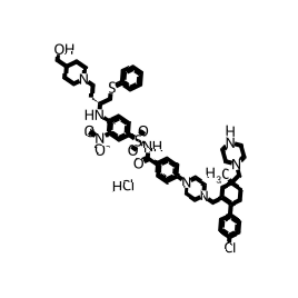 CC1(CN2CCNCC2)CCC(c2ccc(Cl)cc2)=C(CN2CCN(c3ccc(C(=O)NS(=O)(=O)c4ccc(N[C@H](CCN5CCC(CO)CC5)CSc5ccccc5)c([N+](=O)[O-])c4)cc3)CC2)C1.Cl